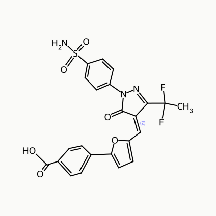 CC(F)(F)C1=NN(c2ccc(S(N)(=O)=O)cc2)C(=O)/C1=C\c1ccc(-c2ccc(C(=O)O)cc2)o1